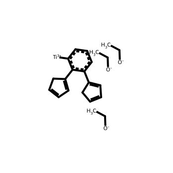 CC[O-].CC[O-].CC[O-].[Ti+3][c]1cccc(C2=CC=CC2)c1C1=CC=CC1